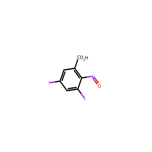 O=Ic1c(I)cc(I)cc1C(=O)O